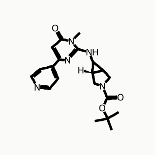 Cn1c(NC2C3CN(C(=O)OC(C)(C)C)C[C@@H]32)nc(-c2ccncc2)cc1=O